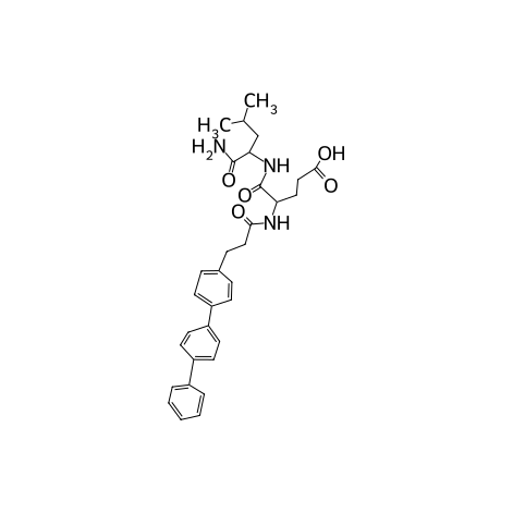 CC(C)CC(NC(=O)C(CCC(=O)O)NC(=O)CCc1ccc(-c2ccc(-c3ccccc3)cc2)cc1)C(N)=O